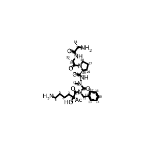 CC(=O)C(O)(CCCCN)C(=O)N(Cc1ccccc1)C(=O)N(C)NC(=O)[C@@H]1CCCN1C(=O)[C@H](C)NC(=O)[C@H](C)N